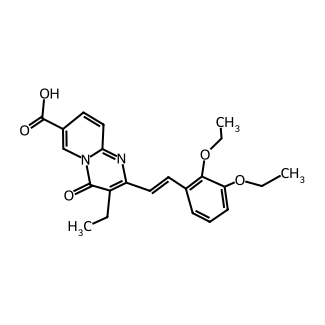 CCOc1cccc(/C=C/c2nc3ccc(C(=O)O)cn3c(=O)c2CC)c1OCC